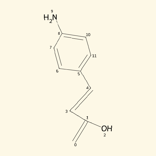 C=C(O)/C=C/c1ccc(N)cc1